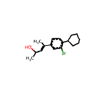 CC(=CC(C)O)c1ccc(C2CCCCC2)c(Br)c1